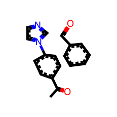 CC(=O)c1ccc(-n2ccnc2)cc1.O=Cc1ccccc1